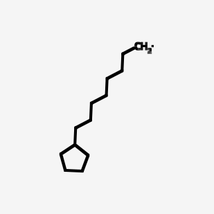 [CH2]CCCCCCCC1CCCC1